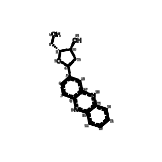 OC[C@H]1OC(c2ccc3nc4ccccc4nc3c2)C[C@@H]1O